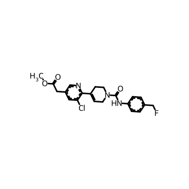 COC(=O)Cc1cnc(C2=CCN(C(=O)Nc3ccc(CF)cc3)CC2)c(Cl)c1